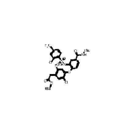 CC(C)(C)NC(=O)c1ccc(Oc2cc(F)c(CC(=O)OC(C)(C)C)cc2Cl)c(NS(=O)(=O)c2ccc(C(F)(F)F)cc2Cl)c1